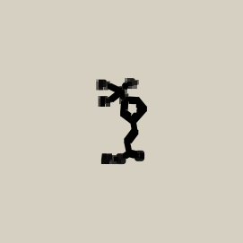 COC(=O)/C=C/c1ccn([Si](C(C)C)(C(C)C)C(C)C)c1